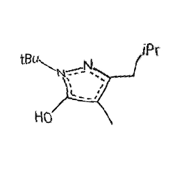 Cc1c(CC(C)C)nn(C(C)(C)C)c1O